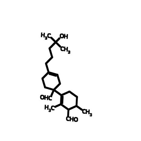 CC1=C(C2(C=O)CC=C(CCCC(C)(C)O)CC2)CCC(C)C1C=O